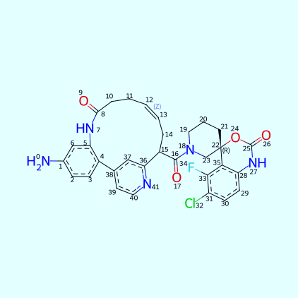 Nc1ccc2c(c1)NC(=O)CC/C=C\CC(C(=O)N1CCC[C@@]3(C1)OC(=O)Nc1ccc(Cl)c(F)c13)c1cc-2ccn1